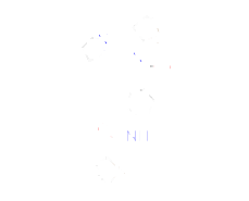 Cc1ccsc1C(=O)Nc1ccc(C(=O)N2Cc3cccn3Cc3ccsc32)cc1